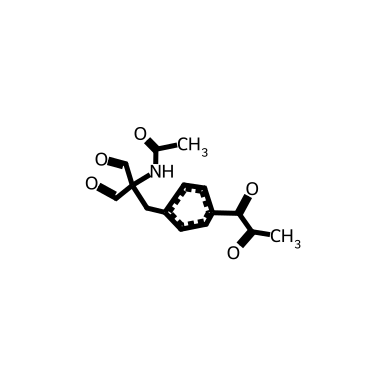 CC(=O)NC(C=O)(C=O)Cc1ccc(C(=O)C(C)=O)cc1